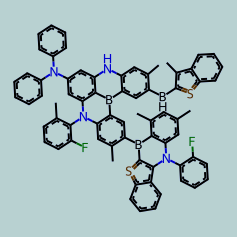 Cc1cc(C)c2c(c1)N(c1ccccc1F)c1c(sc3ccccc13)B2c1cc2c(cc1C)N(c1c(C)cccc1F)c1cc(N(c3ccccc3)c3ccccc3)cc3c1B2c1cc(Bc2sc4ccccc4c2C)c(C)cc1N3